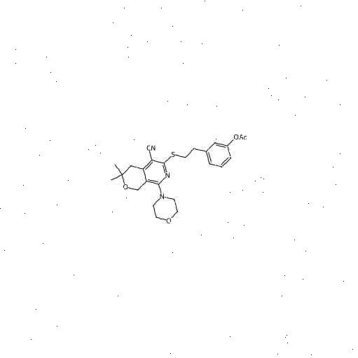 CC(=O)Oc1cccc(CCSc2nc(N3CCOCC3)c3c(c2C#N)CC(C)(C)OC3)c1